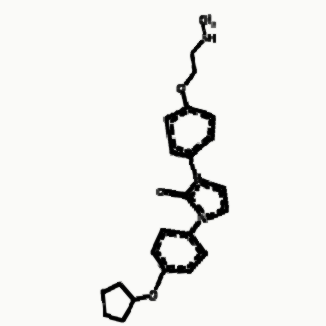 CNCCOc1ccc(-n2ccn(-c3ccc(OC4CCCC4)cc3)c2=O)cc1